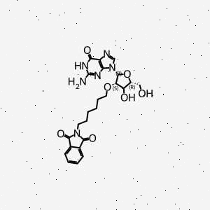 Nc1nc2c(ncn2[C@@H]2O[C@H](CO)C(O)[C@@H]2OCCCCCCN2C(=O)c3ccccc3C2=O)c(=O)[nH]1